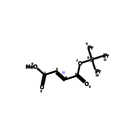 COC(=O)/C=C/C(=O)O[Si](C(C)C)(C(C)C)C(C)C